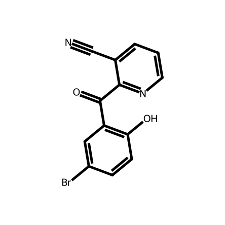 N#Cc1cccnc1C(=O)c1cc(Br)ccc1O